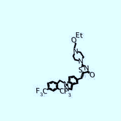 CCOCCN1CCN(C2=NC(=O)/C(=C/c3ccc4c(cnn4Cc4ccc(C(F)(F)F)cc4C(F)(F)F)c3)S2)CC1